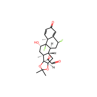 CC1(C)O[C@@H]2C[C@H]3[C@@H]4C[C@H](F)C5=CC(=O)C=C[C@]5(C)[C@@]4(F)[C@@H](O)C[C@]3(C)[C@]2(C(=O)C=O)O1